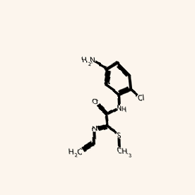 C=C/N=C(\SC)C(=O)Nc1cc(N)ccc1Cl